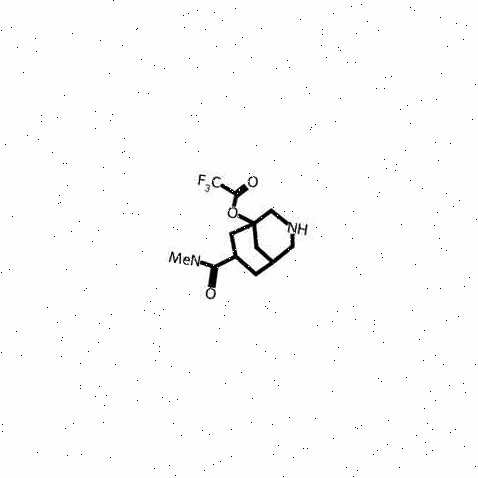 CNC(=O)C1CC2CNCC(OC(=O)C(F)(F)F)(C2)C1